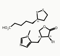 CC[C@@H]1C(=O)OC[C@@H]1Cc1cncn1C.O=C(O)CCCC[C@@H]1CCSS1